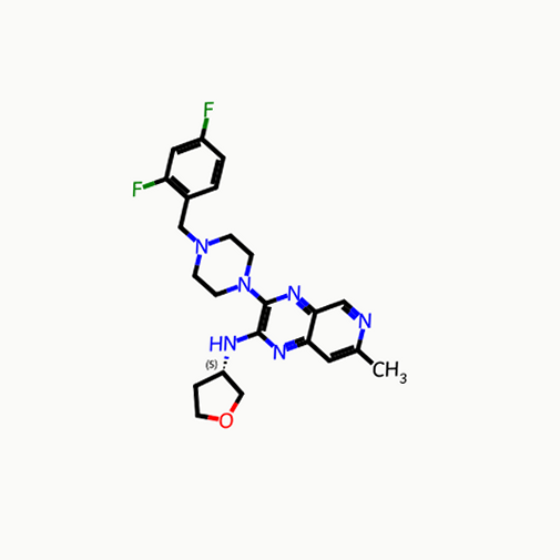 Cc1cc2nc(N[C@H]3CCOC3)c(N3CCN(Cc4ccc(F)cc4F)CC3)nc2cn1